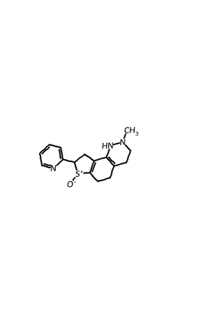 CN1CCC2=C(N1)C1=C(CC2)[S+]([O-])C(c2ccccn2)C1